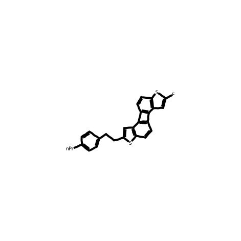 CCCc1ccc(CCc2cc3c4c(ccc3s2)-c2c-4ccc3sc(F)cc23)cc1